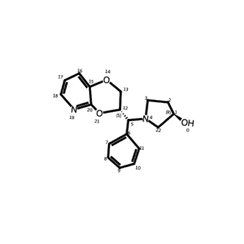 O[C@@H]1CCN(C(c2ccccc2)[C@H]2COc3cccnc3O2)C1